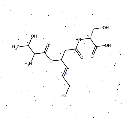 CC(O)C(N)C(=O)OC(/C=C/CS)CC(=O)N[C@H](CO)C(=O)O